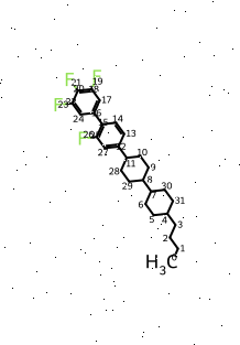 CCCCC1CCC(C2CCC(c3ccc(-c4cc(F)c(F)c(F)c4)c(F)c3)CC2)CC1